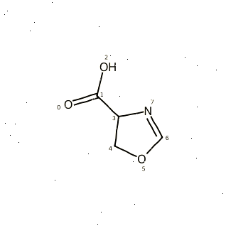 O=C(O)C1COC=N1